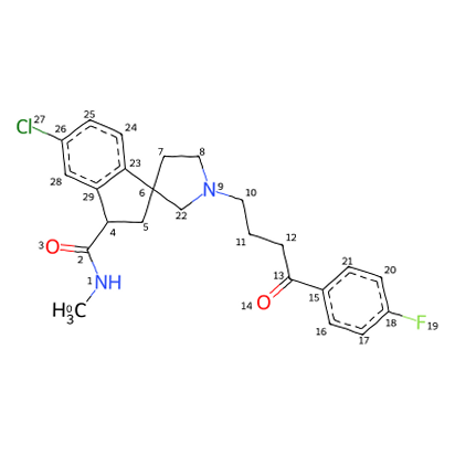 CNC(=O)C1CC2(CCN(CCCC(=O)c3ccc(F)cc3)C2)c2ccc(Cl)cc21